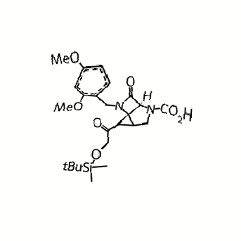 COc1ccc(CN2C(=O)[C@H]3N(C(=O)O)CC4C(C(=O)CO[Si](C)(C)C(C)(C)C)[C@]432)c(OC)c1